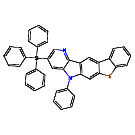 c1ccc(-n2c3cc4sc5ccccc5c4cc3c3ncc([Si](c4ccccc4)(c4ccccc4)c4ccccc4)cc32)cc1